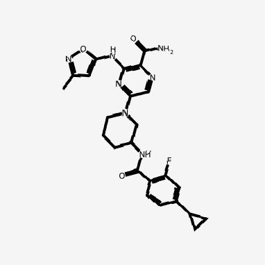 Cc1cc(Nc2nc(N3CCCC(NC(=O)c4ccc(C5CC5)cc4F)C3)cnc2C(N)=O)on1